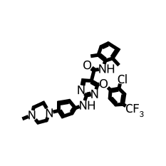 Cc1cccc(C)c1NC(=O)c1cnc(Nc2ccc(N3CCN(C)CC3)cc2)nc1Oc1ccc(C(F)(F)F)cc1Cl